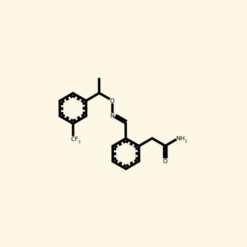 CC(O/N=C/c1ccccc1CC(N)=O)c1cccc(C(F)(F)F)c1